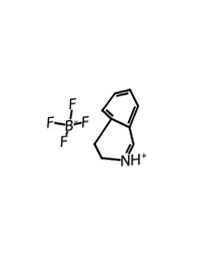 C1=[NH+]CCc2ccccc21.F[B-](F)(F)F